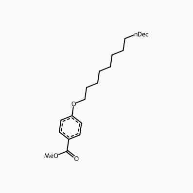 CCCCCCCCCCCCCCCCCCOc1ccc(C(=O)OC)cc1